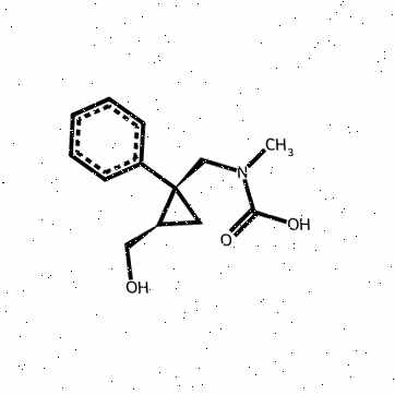 CN(C[C@@]1(c2ccccc2)C[C@H]1CO)C(=O)O